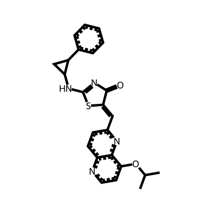 CC(C)Oc1ccnc2ccc(/C=C3\SC(NC4CC4c4ccccc4)=NC3=O)nc12